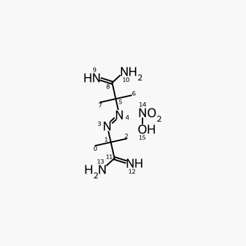 CC(C)(N=NC(C)(C)C(=N)N)C(=N)N.O=[N+]([O-])O